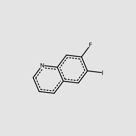 Fc1cc2ncccc2cc1I